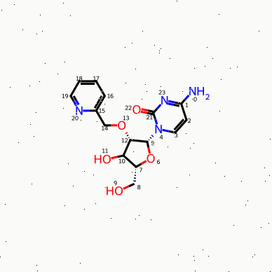 Nc1ccn([C@@H]2O[C@H](CO)C(O)[C@@H]2OCc2ccccn2)c(=O)n1